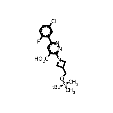 CC(C)(C)[Si](C)(C)OCC1CN(c2nnc(-c3cc(Cl)ccc3F)cc2C(=O)O)C1